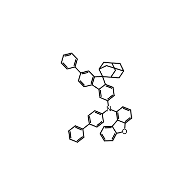 c1ccc(-c2ccc(N(c3ccc4c(c3)-c3ccc(-c5ccccc5)cc3C43C4CC5CC(C4)CC3C5)c3cccc4oc5ccccc5c34)cc2)cc1